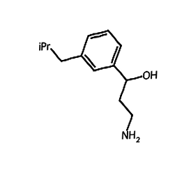 CC(C)Cc1cccc(C(O)CCN)c1